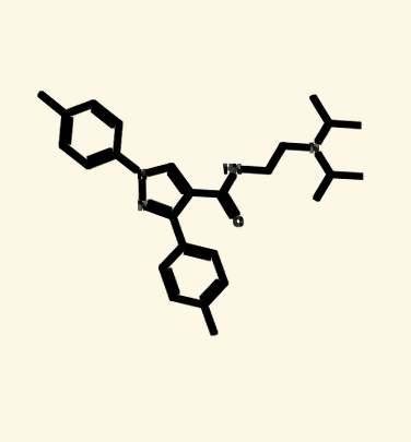 Cc1ccc(-c2nn(-c3ccc(C)cc3)cc2C(=O)NCCN(C(C)C)C(C)C)cc1